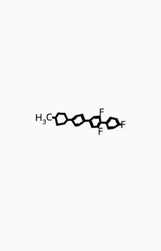 CC1CCC(c2ccc(-c3cc(F)c(-c4ccc(F)cc4)c(F)c3)cc2)CC1